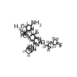 Cc1cc(N)nc(-c2c(Cl)cc3c(N4CC5CCC(C4)N5)nc(OCC4(CN5CC[C@H](F)C5)CC4)nc3c2F)c1C(F)(F)F